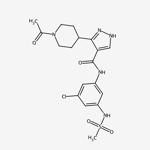 CC(=O)N1CCC(c2n[nH]cc2C(=O)Nc2cc(Cl)cc(NS(C)(=O)=O)c2)CC1